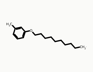 [CH2]CCCCCCCCCOc1cccc(C)c1